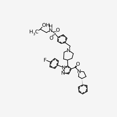 CC(O)CNS(=O)(=O)c1ccc(CN2CCC(c3c(C(=O)N4CC[C@H](c5ccccc5)C4)cnn3-c3ccc(F)cc3)CC2)cc1